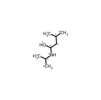 CC(C)CC(O)NC(C)C